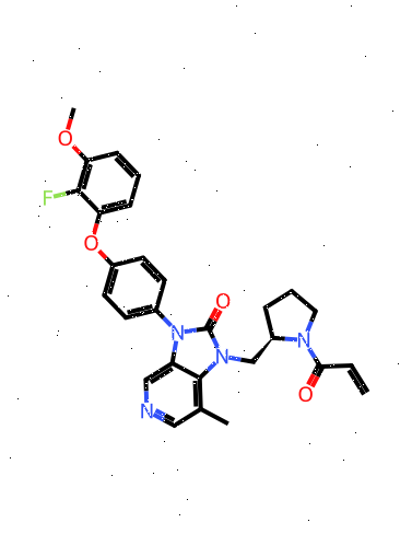 C=CC(=O)N1CCC[C@@H]1Cn1c(=O)n(-c2ccc(Oc3cccc(OC)c3F)cc2)c2cncc(C)c21